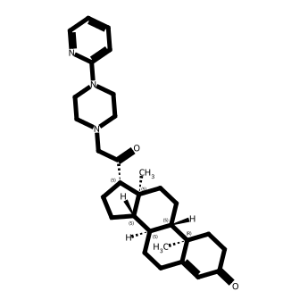 C[C@]12CC[C@H]3[C@@H](CCC4=CC(=O)CC[C@@]43C)[C@@H]1CC[C@@H]2C(=O)CN1CCN(c2ccccn2)CC1